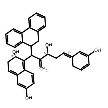 C=C(C(C1=c2ccc(O)cc2=CC[C@@H]1O)C1Cc2ccccc2-c2ccccc21)[C@@H](O)C/C=C1/C=C(O)C=CC1